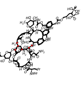 CN[C@H](CC(C)C)C(=O)N[C@H]1C(=O)N[C@@H](CC(N)=O)C(=O)N[C@H]2C(=O)N[C@H]3C(=O)N[C@H](C(=O)N[C@H](C(=O)O)c4cc(O)cc(O)c4-c4cc3ccc4O)[C@H](O[C@H]3C[C@](C)(NC(=O)OCc4ccc(NC(=O)OCCCC(P(=O)(O)O)P(=O)(O)O)cc4)[C@@H](O)[C@H](C)O3)c3ccc(c(Cl)c3)Oc3cc2cc(c3O[C@@H]2O[C@H](CO)[C@@H](O)[C@H](O)[C@H]2O[C@H]2C[C@](C)(N)[C@@H](O)[C@H](C)O2)Oc2ccc(cc2Cl)[C@H]1O